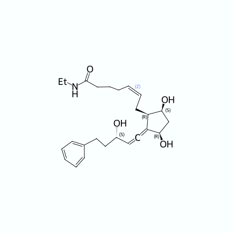 CCNC(=O)CCC/C=C\C[C@@H]1C(=C=C[C@@H](O)CCc2ccccc2)[C@H](O)C[C@@H]1O